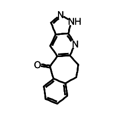 O=C1c2ccccc2CCc2nc3[nH]ncc3cc21